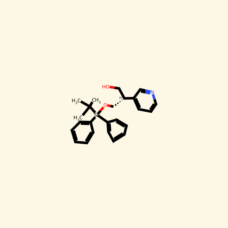 CC(C)(C)[Si](OC[C@H](CO)c1cccnc1)(c1ccccc1)c1ccccc1